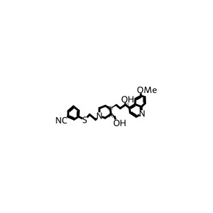 COc1ccc2nccc([C@@H](O)CC[C@@H]3CCN(CCSc4cccc(C#N)c4)C[C@@H]3CO)c2c1